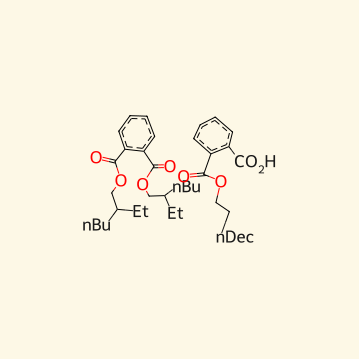 CCCCC(CC)COC(=O)c1ccccc1C(=O)OCC(CC)CCCC.CCCCCCCCCCCCOC(=O)c1ccccc1C(=O)O